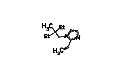 C=Cc1nccn1CC(C)(CC)CC